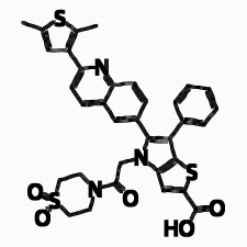 Cc1cc(-c2ccc3cc(-c4c(-c5ccccc5)c5sc(C(=O)O)cc5n4CC(=O)N4CCS(=O)(=O)CC4)ccc3n2)c(C)s1